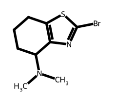 CN(C)C1CCCc2sc(Br)nc21